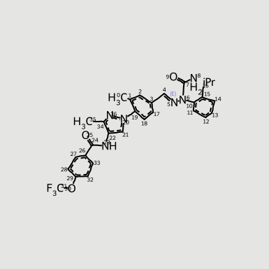 Cc1cc(/C=N/N(C(N)=O)c2ccccc2C(C)C)ccc1-n1cc(NC(=O)c2ccc(OC(F)(F)F)cc2)c(C)n1